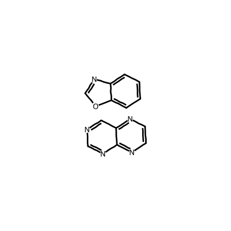 c1ccc2ocnc2c1.c1cnc2ncncc2n1